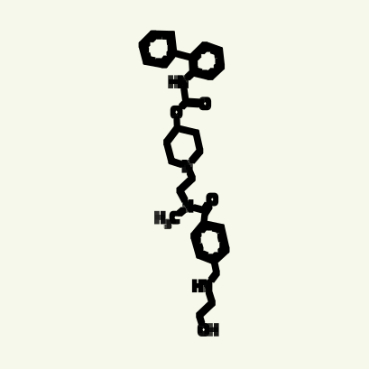 CN(CCN1CCC(OC(=O)Nc2ccccc2-c2ccccc2)CC1)C(=O)c1ccc(CNCCO)cc1